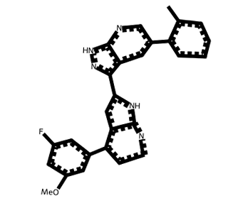 COc1cc(F)cc(-c2ccnc3[nH]c(-c4n[nH]c5ncc(-c6ccccc6C)cc45)cc23)c1